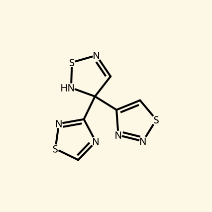 C1=NSNC1(c1csnn1)c1ncsn1